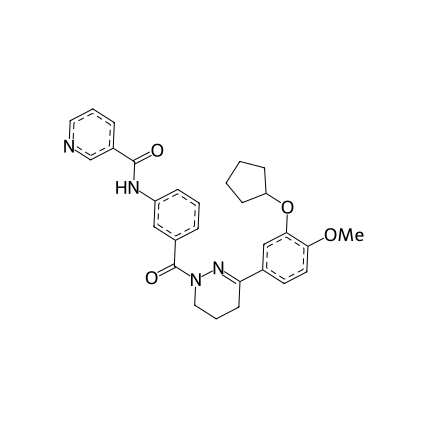 COc1ccc(C2=NN(C(=O)c3cccc(NC(=O)c4cccnc4)c3)CCC2)cc1OC1CCCC1